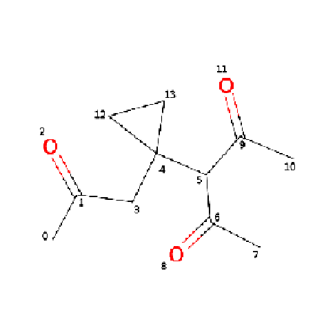 CC(=O)CC1(C(C(C)=O)C(C)=O)CC1